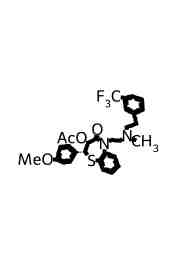 COc1ccc([C@H]2Sc3ccccc3N(CCN(C)CCc3cccc(C(F)(F)F)c3)C(=O)[C@H]2OC(C)=O)cc1